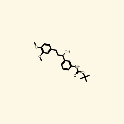 COc1ccc(CC[C@@H](O)c2cccc(NC(=O)OC(C)(C)C)c2)cc1OC